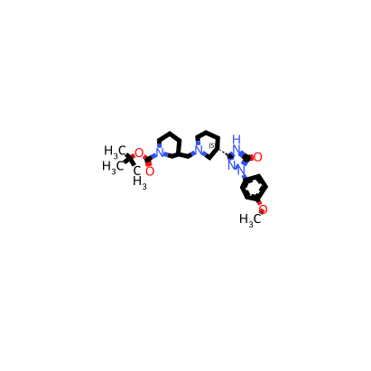 COc1ccc(-n2nc([C@H]3CCCN(CC4CCCN(C(=O)OC(C)(C)C)C4)C3)[nH]c2=O)cc1